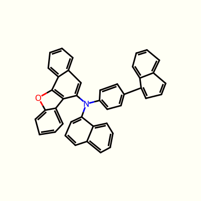 c1ccc2c(-c3ccc(N(c4cccc5ccccc45)c4cc5ccccc5c5oc6ccccc6c45)cc3)cccc2c1